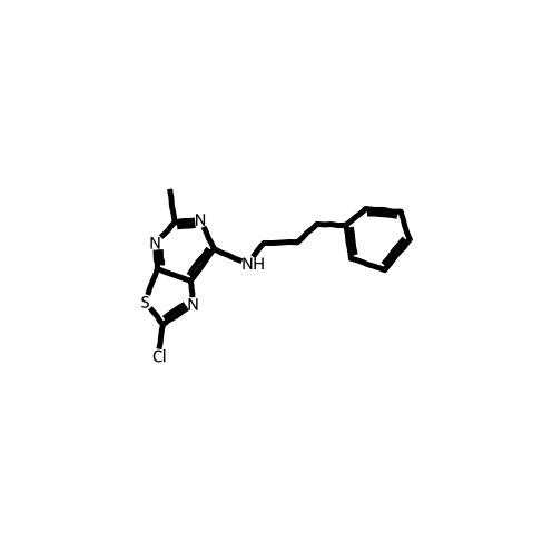 Cc1nc(NCCCc2ccccc2)c2nc(Cl)sc2n1